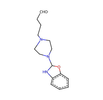 O=[C]CCCN1CCN(C2Nc3ccccc3O2)CC1